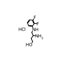 Cl.NC(CCO)CNc1cccc(F)c1F